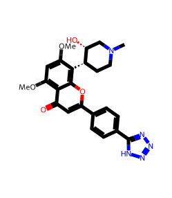 COc1cc(OC)c2c(=O)cc(-c3ccc(-c4nnn[nH]4)cc3)oc2c1[C@H]1CCN(C)C[C@H]1O